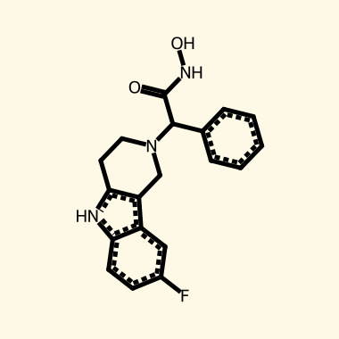 O=C(NO)C(c1ccccc1)N1CCc2[nH]c3ccc(F)cc3c2C1